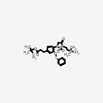 CC(C)(C)OC(=O)CCc1ccc(N2CC(=O)N(CC[Si](C)(C)C)S2(=O)=O)c(OCc2ccccc2)c1